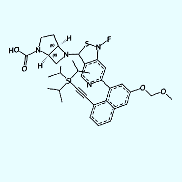 COCOc1cc(-c2cc3c(cn2)C(N2C[C@@H]4[C@H]2CCN4C(=O)O)SN3F)c2c(C#C[Si](C(C)C)(C(C)C)C(C)C)cccc2c1